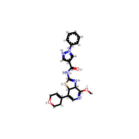 COC1=NC=C(C2=CCOCC2)C2SC(NC(=O)c3cnn(-c4ccccc4)c3)=NC12